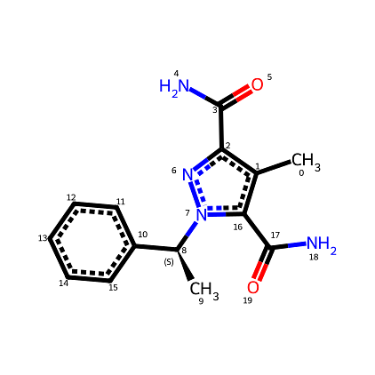 Cc1c(C(N)=O)nn([C@@H](C)c2ccccc2)c1C(N)=O